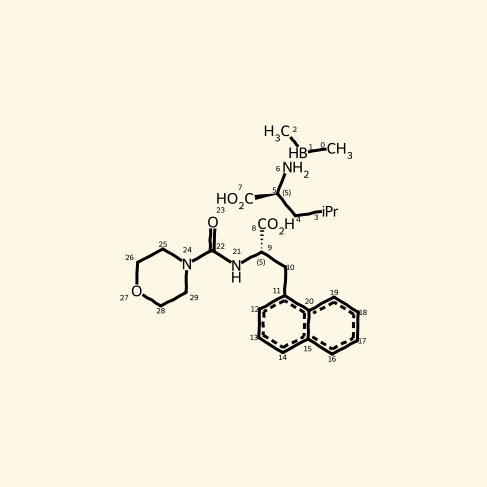 CBC.CC(C)C[C@H](N)C(=O)O.O=C(O)[C@H](Cc1cccc2ccccc12)NC(=O)N1CCOCC1